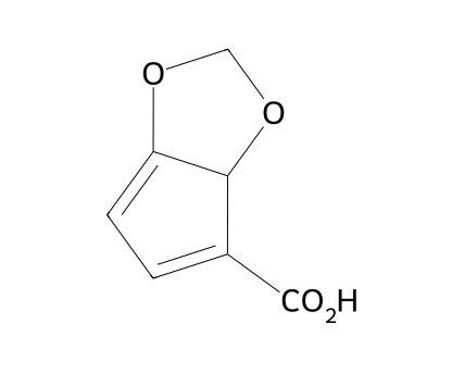 O=C(O)C1=CC=C2OCOC21